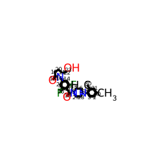 Cc1ccc(N2CCN(C(=O)c3c(F)cc(N4C(=O)CCC4CO)cc3F)CC2)c(C)c1